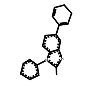 Cc1nc2cc(C3=CCCC=C3)ccc2n1-c1ccccc1